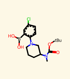 CN(C(=O)OC(C)(C)C)C1CCCN(c2ccc(Cl)cc2B(O)O)C1